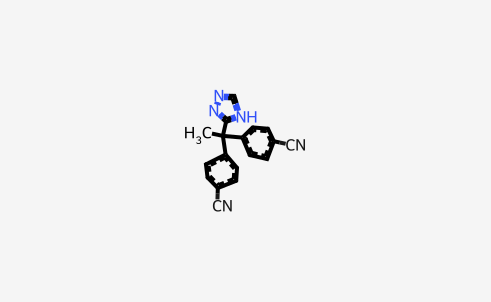 CC(c1ccc(C#N)cc1)(c1ccc(C#N)cc1)c1nnc[nH]1